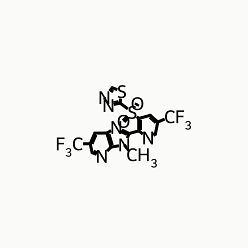 Cn1c(-c2ncc(C(F)(F)F)cc2S(=O)(=O)c2nncs2)nc2cc(C(F)(F)F)cnc21